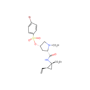 C=C[C@@H]1C[C@]1(NC(=O)[C@@H]1C[C@H](OS(=O)(=O)c2ccc(Br)cc2)CN1C(=O)O)C(=O)OCC